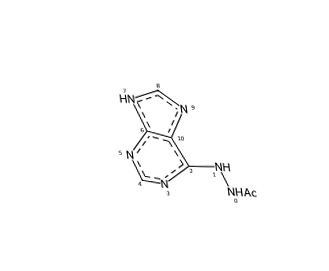 CC(=O)NNc1ncnc2[nH]cnc12